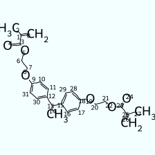 C=C(C)C(=O)OCCOc1ccc(C(C)c2ccc(OCCOC(=O)C(=C)C)cc2)cc1